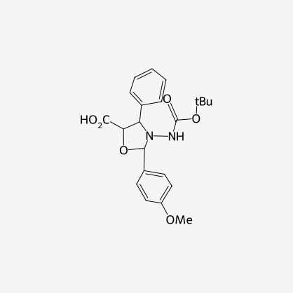 COc1ccc(C2OC(C(=O)O)C(c3ccccc3)N2NC(=O)OC(C)(C)C)cc1